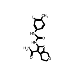 Cc1ccc(NC(=O)Nc2sc3c(c2C(N)=O)CCOC3)cc1F